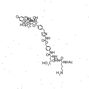 CC(=O)N[C@@H](CCCCN)C(=O)NCC(=O)N[C@@H](CCC(=O)O)C(=O)Nc1ccc(COC(=O)Nc2csc(Cc3ccc([C@@H]4O[C@@H]5C[C@H]6[C@@H]7CCC8=CC(=O)C=C[C@]8(C)[C@H]7[C@@H](O)C[C@]6(C)[C@]5(C(=O)CO)O4)cc3)n2)cc1